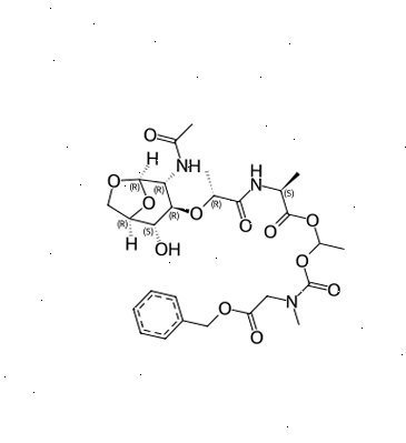 CC(=O)N[C@H]1[C@@H]2OC[C@@H](O2)[C@@H](O)[C@@H]1O[C@H](C)C(=O)N[C@@H](C)C(=O)OC(C)OC(=O)N(C)CC(=O)OCc1ccccc1